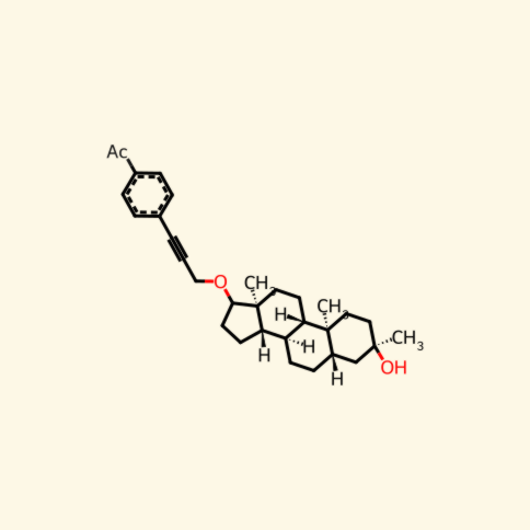 CC(=O)c1ccc(C#CCOC2CC[C@H]3[C@@H]4CC[C@H]5C[C@](C)(O)CC[C@]5(C)[C@H]4CC[C@]23C)cc1